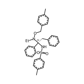 CCN(OCc1ccc(C)cc1)[C@@](Cc1ccccc1)(NS(=O)(=O)c1ccc(C)cc1)c1ccccc1